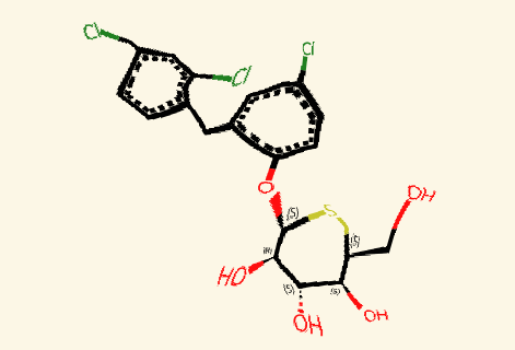 OC[C@@H]1S[C@H](Oc2ccc(Cl)cc2Cc2ccc(Cl)cc2Cl)[C@H](O)[C@@H](O)[C@@H]1O